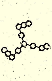 c1ccc2cc3c(-c4ccc(-c5nc(-c6ccc(-c7ccc8cnccc8c7)cc6)nc(-c6ccc(-c7cccc8cc9ccccc9cc78)cc6)n5)cc4)cccc3cc2c1